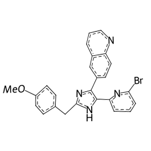 COc1ccc(Cc2nc(-c3ccc4ncccc4c3)c(-c3cccc(Br)n3)[nH]2)cc1